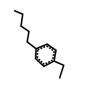 CC[CH]CCc1ccc(CC)cc1